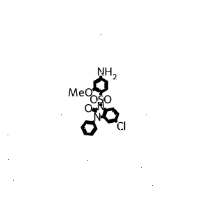 COc1cc(N)ccc1S(=O)(=O)n1c(=O)n(-c2ccccc2)c2cc(Cl)ccc21